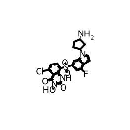 N[C@H]1CC[C@H](n2ccc3c(F)cc(S(=O)(=O)c4ccc(Cl)c5c(=O)n(O)c(=O)[nH]c45)cc32)C1